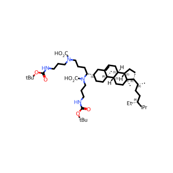 CC[C@H](CC[C@@H](C)[C@H]1CC[C@H]2[C@@H]3CC=C4C[C@@H](C(CCCN(CCCNC(=O)OC(C)(C)C)C(=O)O)N(CCCNC(=O)OC(C)(C)C)C(=O)O)CC[C@]4(C)[C@H]3CC[C@]12C)C(C)C